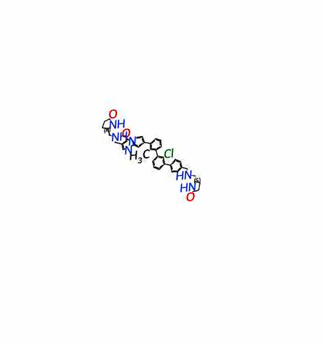 Cc1c(-c2ccn3c(=O)c(CNC[C@H]4CCC(=O)N4)cnc3c2)cccc1-c1cccc(-c2ccc(CNC[C@@H]3CCC(=O)N3)cc2)c1Cl